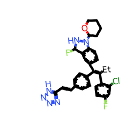 CC/C(=C(/c1ccc(/C=C/c2nnn[nH]2)cc1)c1ccc2c(c1)C(F)NN2C1CCCCO1)c1ccc(F)cc1Cl